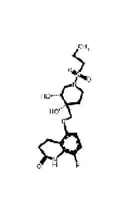 CCCS(=O)(=O)N1CC[C@@](O)(COc2ccc(F)c3c2CCC(=O)N3)[C@H](O)C1